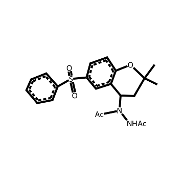 CC(=O)NN(C(C)=O)C1CC(C)(C)Oc2ccc(S(=O)(=O)c3ccccc3)cc21